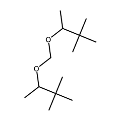 CC(OCOC(C)C(C)(C)C)C(C)(C)C